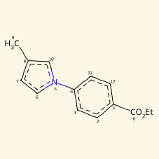 CCOC(=O)c1ccc(-n2ccc(C)c2)cc1